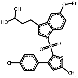 CCOc1ccc2c(c1)c(CCC(O)O)cn2S(=O)(=O)c1sc(C)cc1-c1ccc(Cl)cc1